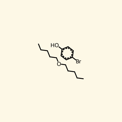 CCCCCOCCCCC.Oc1ccc(Br)cc1